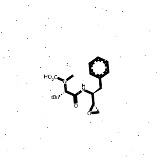 CN(C(=O)O)[C@H](C(=O)N[C@@H](Cc1ccccc1)[C@@H]1CO1)C(C)(C)C